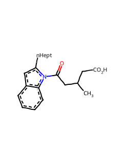 CCCCCCCc1cc2ccccc2n1C(=O)CC(C)CC(=O)O